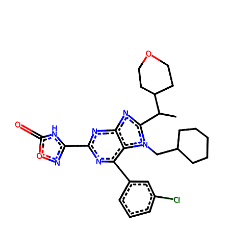 CC(c1nc2nc(-c3noc(=O)[nH]3)nc(-c3cccc(Cl)c3)c2n1CC1CCCCC1)C1CCOCC1